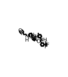 Cc1ccc(NC(=O)c2cccc(C(F)(F)F)c2)cc1Nc1nccn1-c1nccc(NCCN2CCOCC2)n1